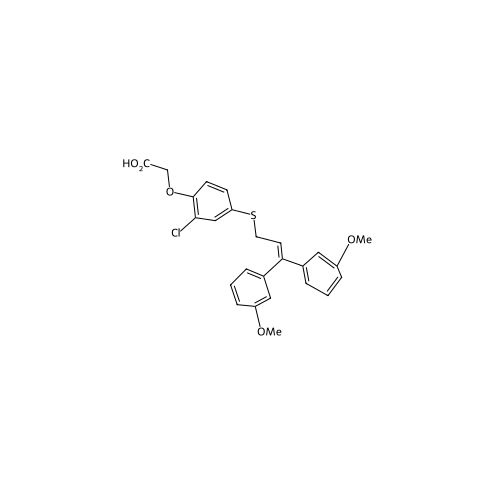 COc1cccc(C(=CCSc2ccc(OCC(=O)O)c(Cl)c2)c2cccc(OC)c2)c1